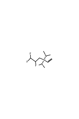 C=C[Si](CC(F)C(F)F)(N(C)C)N(C)C